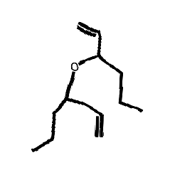 C=CC(CCC)OC(C=C)CCC